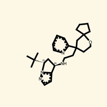 CC(C)(C)[C@@H]1C[C@@H](NCCC2(c3ccccn3)CCOC3(CCCC3)C2)c2ccnn21